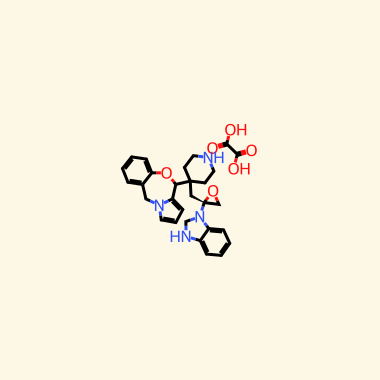 O=C(O)C(=O)O.c1ccc2c(c1)Cn1cccc1C(C1(C[C@]3(N4CNc5ccccc54)CO3)CCNCC1)O2